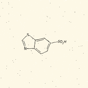 O=S(=O)(O)c1ccc2ncsc2c1